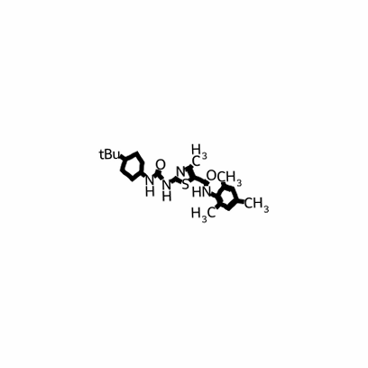 Cc1cc(C)c(NC(=O)c2sc(NC(=O)NC3CCC(C(C)(C)C)CC3)nc2C)c(C)c1